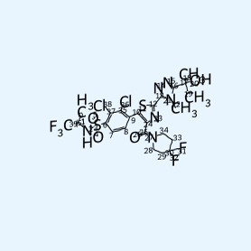 C[C@H](NS(=O)(=O)c1ccc(-c2sc(-c3nnc(C(C)(C)O)n3C)nc2C(=O)N2CCC(F)(F)CC2)c(Cl)c1Cl)C(F)(F)F